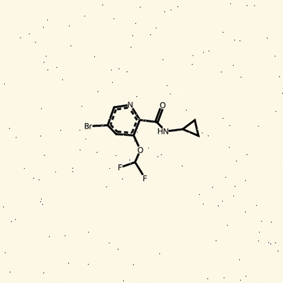 O=C(NC1CC1)c1ncc(Br)cc1OC(F)F